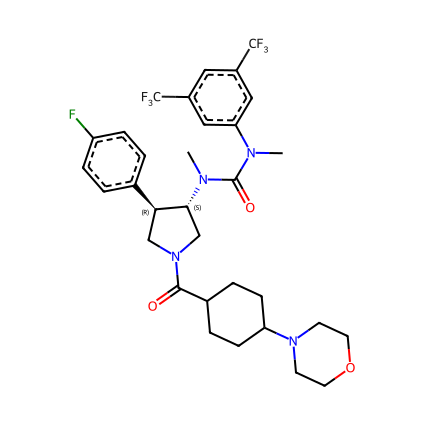 CN(C(=O)N(C)[C@@H]1CN(C(=O)C2CCC(N3CCOCC3)CC2)C[C@H]1c1ccc(F)cc1)c1cc(C(F)(F)F)cc(C(F)(F)F)c1